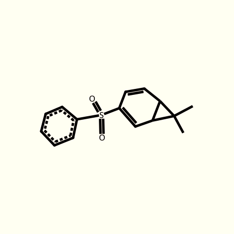 CC1(C)C2C=CC(S(=O)(=O)c3ccccc3)=CC21